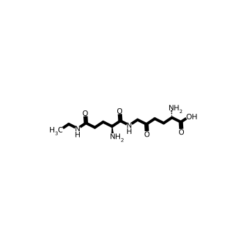 CCNC(=O)CC[C@H](N)C(=O)NCC(=O)CC[C@H](N)C(=O)O